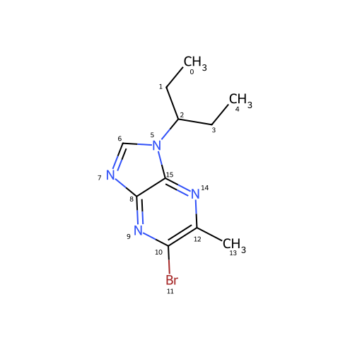 CCC(CC)n1cnc2nc(Br)c(C)nc21